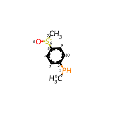 CPc1ccc([S+](C)[O-])cc1